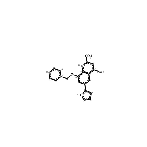 O=C(O)c1cc(O)c2cc(-c3ccco3)cc(OCc3ccccc3)c2n1